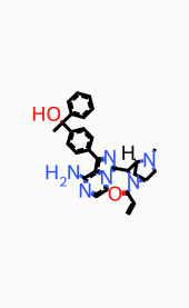 C=CC(=O)N1C2C[C@@H](C1c1nc(-c3ccc(C(C)(O)c4ccccc4)cc3)c3c(N)nccn13)N(C)C2